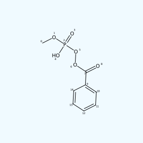 COP(=O)(O)OOC(=O)c1ccccc1